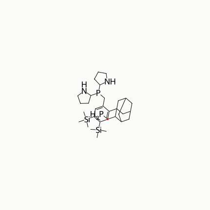 C[Si](C)(C)c1cc(CP(C2CCCN2)C2CCCN2)c(C23CC4CC(CC(C4)C2CP)C3)cc1[Si](C)(C)C